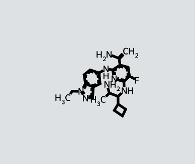 C=C(N)c1cc(F)c(NC(C(C)N)C2CCC2)nc1Nc1ccc2c(cnn2CC)c1